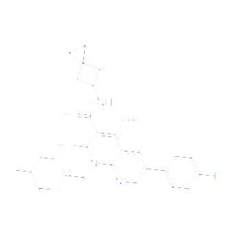 CC1COC(CN2c3ncc(-c4ccc(F)cc4)cc3C(O)=C(C(=O)NC3CC4(CC4)C3)C2O)OC1